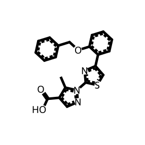 Cc1c(C(=O)O)cnn1-c1nc(-c2ccccc2OCc2ccccc2)cs1